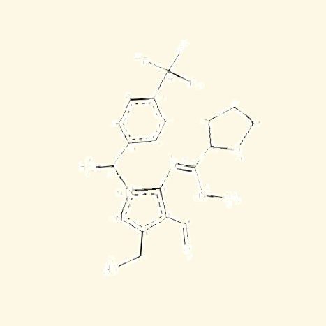 CN/C(=N\c1c(C=O)c(CO)nn1C(C)c1ccc(C(F)(F)F)cc1)C1CCCO1